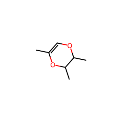 CC1=COC(C)C(C)O1